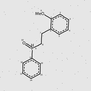 COc1ccccc1CC[PH](=O)c1ccccc1